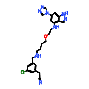 N#CCc1cc(Cl)cc(CNCCCCOCCNc2cc(-n3cnnc3)cc3[nH]ncc23)c1